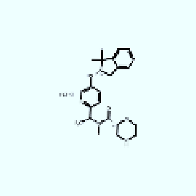 CN(C(=O)[C@H]1CNCCO1)C(c1ccc(N[C@H]2Cc3ccccc3C2(C)C)cn1)C(F)(F)F.Cl.Cl